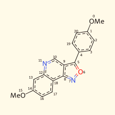 COc1ccc(-c2onc3c2cnc2cc(OC)ccc23)cc1